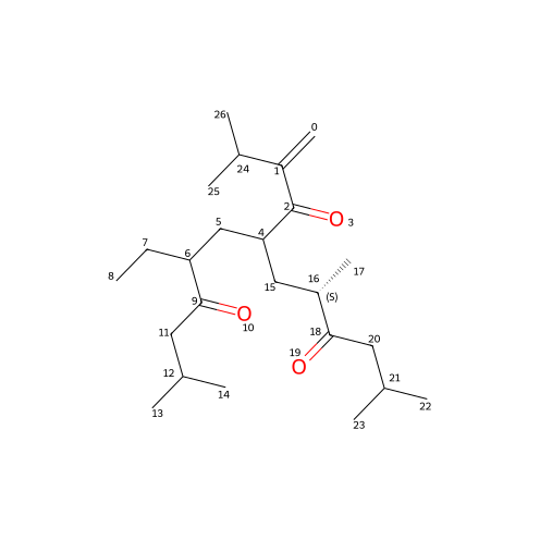 C=C(C(=O)C(CC(CC)C(=O)CC(C)C)C[C@H](C)C(=O)CC(C)C)C(C)C